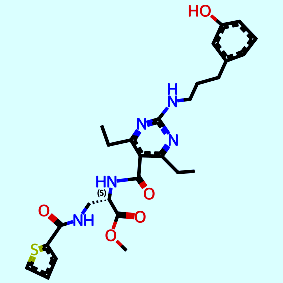 CCc1nc(NCCCc2cccc(O)c2)nc(CC)c1C(=O)N[C@@H](CNC(=O)c1cccs1)C(=O)OC